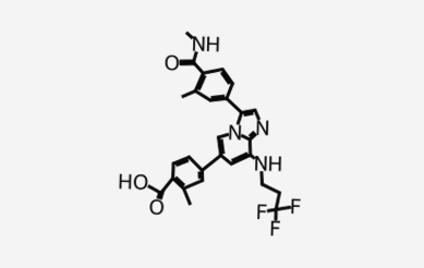 CNC(=O)c1ccc(-c2cnc3c(NCCC(F)(F)F)cc(-c4ccc(C(=O)O)c(C)c4)cn23)cc1C